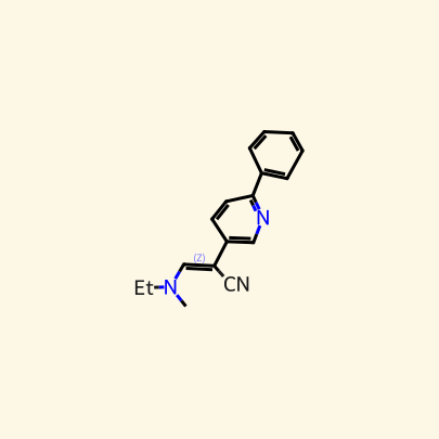 CCN(C)/C=C(\C#N)c1ccc(-c2ccccc2)nc1